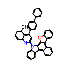 CC1CC=Cc2nc(-n3c4ccccc4c4c5ccccc5c5c6ccccc6oc5c43)cc(-c3ccc(-c4ccccc4)cc3)c21